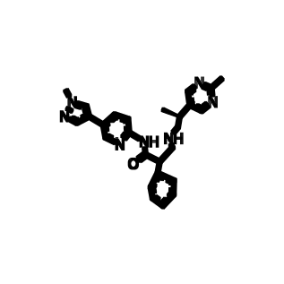 Cc1ncc([C@H](C)CNCC(C(=O)Nc2ccc(-c3cnn(C)c3)cn2)c2ccccc2)cn1